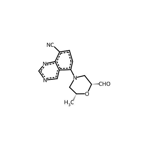 C[C@@H]1CN(c2ccc(C#N)c3ncncc23)C[C@H](C=O)O1